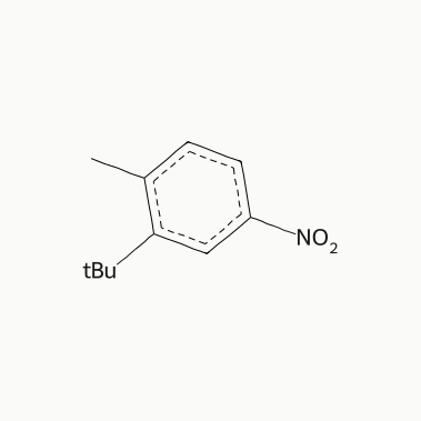 Cc1ccc([N+](=O)[O-])cc1C(C)(C)C